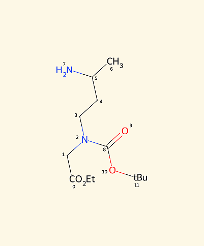 CCOC(=O)CN(CCC(C)N)C(=O)OC(C)(C)C